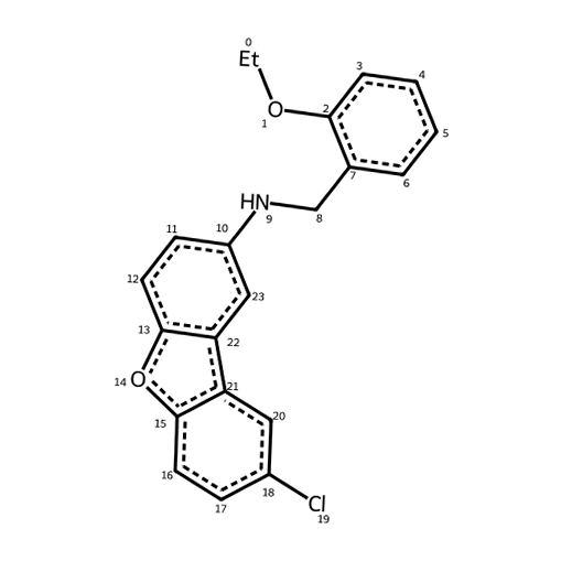 CCOc1ccccc1CNc1ccc2oc3ccc(Cl)cc3c2c1